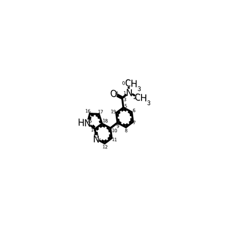 CN(C)C(=O)c1cccc(-c2ccnc3[nH]ccc23)c1